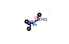 CC(C)C(NCCCN(C=O)C(=O)c1ccccc1)c1nc2ccccc2cc1Cc1ccccc1